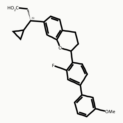 COc1cccc(-c2ccc(C3CCc4ccc([C@@H](CC(=O)O)C5CC5)cc4O3)c(F)c2)c1